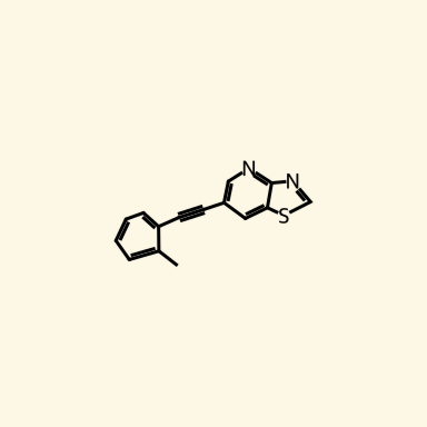 Cc1ccccc1C#Cc1cnc2ncsc2c1